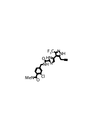 C#CCc1[nH]nc(C(F)(F)F)c1-c1cnc(C(=O)NCc2ccc(C(=O)NC)c(Cl)c2)[nH]1